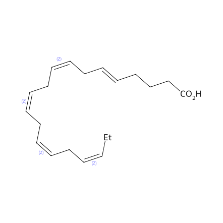 CC/C=C\C/C=C\C/C=C\C/C=C\CC=CCCCC(=O)O